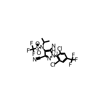 CC(C)N(c1c(C#N)nn(-c2c(Cl)cc(C(F)(F)F)cc2Cl)c1N)S(=O)(=O)C(F)(F)F